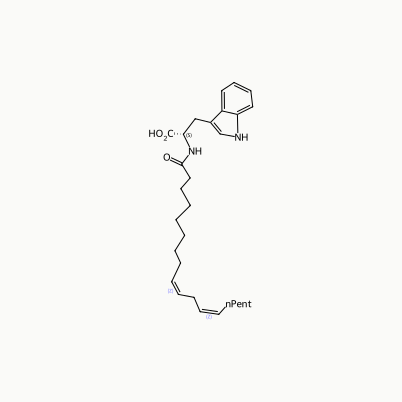 CCCCC/C=C\C/C=C\CCCCCCCC(=O)N[C@@H](Cc1c[nH]c2ccccc12)C(=O)O